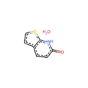 O.O=c1ccc2ccsc2[nH]1